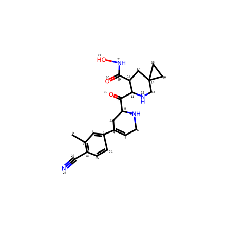 Cc1cc(C2=CCNC(C(=O)C3NCC4(CC4)CC3C(=O)NO)C2)ccc1C#N